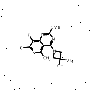 CSc1nc(N2CC(C)(O)C2)c2c(C)nc(Cl)c(F)c2n1